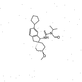 CO[C@H]1CC[C@]2(CC1)Cc1ccc(C3CCCC3)cc1C2NC(=S)N(C=O)C(C)C